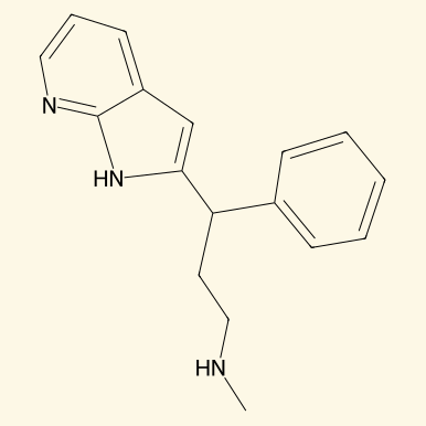 CNCCC(c1ccccc1)c1cc2cccnc2[nH]1